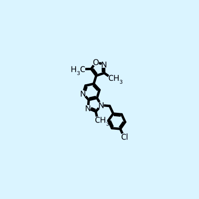 Cc1noc(C)c1-c1cnc2nc(C)n(Cc3ccc(Cl)cc3)c2c1